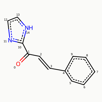 O=C(C=Cc1ccccc1)c1ncc[nH]1